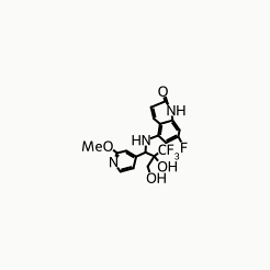 COc1cc(C(Nc2cc(F)cc3[nH]c(=O)ccc23)C(O)(CO)C(F)(F)F)ccn1